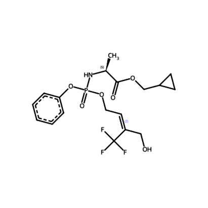 C[C@H](NP(=O)(OC/C=C(/CO)C(F)(F)F)Oc1ccccc1)C(=O)OCC1CC1